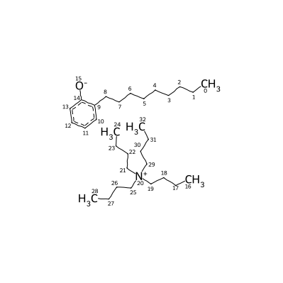 CCCCCCCCCc1ccccc1[O-].CCCC[N+](CCCC)(CCCC)CCCC